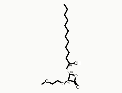 CCCCCCCCCCC[C@@H](O)C[C@@H]1OC(=O)[C@H]1OCCOC